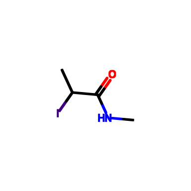 CNC(=O)C(C)I